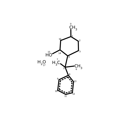 CC1CCC(C(C)(C)c2ccccc2)C(O)C1.O